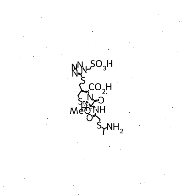 CO[C@@]1(NC(=O)CSC(C)N)C(=O)N2C(C(=O)O)=C(CSc3nnnn3CS(=O)(=O)O)CS[C@@H]21